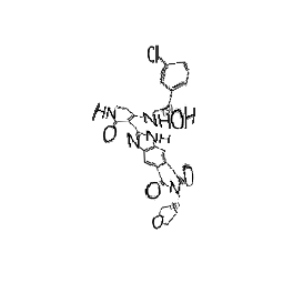 O=C1c2cc3nc(-c4c(NC[C@@H](O)c5cccc(Cl)c5)cc[nH]c4=O)[nH]c3cc2C(=O)N1C[C@@H]1CCOC1